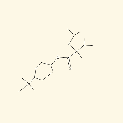 CC(C)CC(C)(C(=S)OC1CCC(C(C)(C)C)CC1)C(C)C